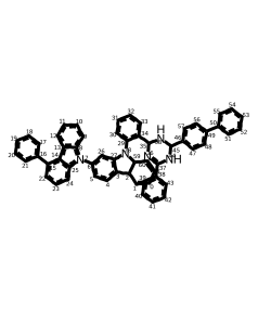 C1=CC2c3ccc(-n4c5ccccc5c5c(-c6ccccc6)cccc54)cc3N(c3ccccc3C3N=C(c4ccccc4)NC(c4ccc(-c5ccccc5)cc4)N3)C2C=C1